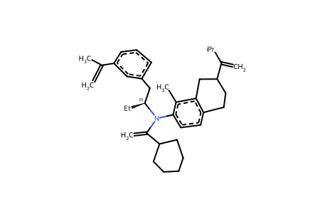 C=C(C)c1cccc(C[C@H](CC)N(C(=C)C2CCCCC2)c2ccc3c(c2C)CC(C(=C)C(C)C)CC3)c1